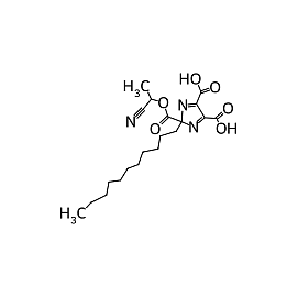 CCCCCCCCCCCC1(C(=O)OC(C)C#N)N=C(C(=O)O)C(C(=O)O)=N1